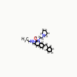 CCNCc1cc2ccc(Cc3ccccc3)cc2n(CCN2CCCCC2)c1=O